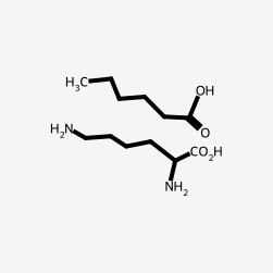 CCCCCC(=O)O.NCCCCC(N)C(=O)O